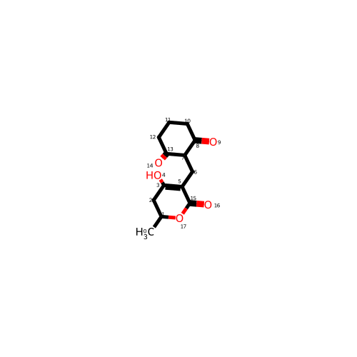 CC1CC(O)=C(CC2C(=O)CCCC2=O)C(=O)O1